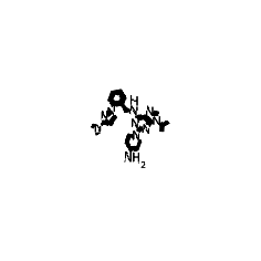 CC(C)n1cnc2c(NCc3ccccc3-n3ccc(N(C)C)n3)nc(N3CCC(N)CC3)nc21